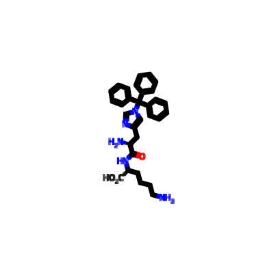 NCCCC[C@H](NC(=O)[C@@H](N)Cc1cn(C(c2ccccc2)(c2ccccc2)c2ccccc2)cn1)C(=O)O